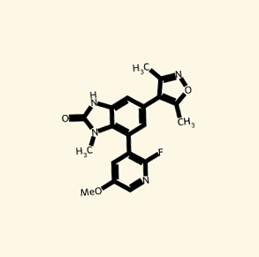 COc1cnc(F)c(-c2cc(-c3c(C)noc3C)cc3[nH]c(=O)n(C)c23)c1